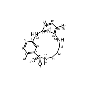 Cc1ccc2cc1S(=O)(=O)NCCCNc1nc(ncc1Br)N2